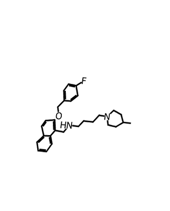 CC1CCN(CCCCNCc2c(OCc3ccc(F)cc3)ccc3ccccc23)CC1